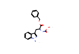 CCCCCCn1cc(CC(NC(=O)OC(C)(C)C)C(=O)OCc2ccccc2)c2ccccc21